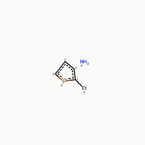 CCc1cccs1.N